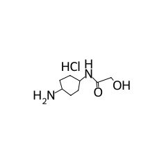 Cl.NC1CCC(NC(=O)CO)CC1